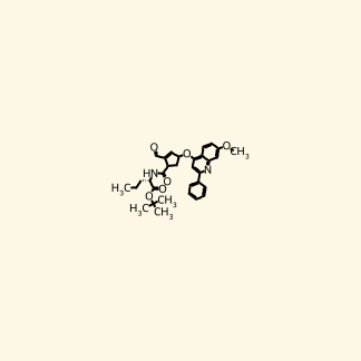 CCC[C@H](NC(=O)C1CC(Oc2cc(-c3ccccc3)nc3cc(OC)ccc23)C=C1C=O)C(=O)OC(C)(C)C